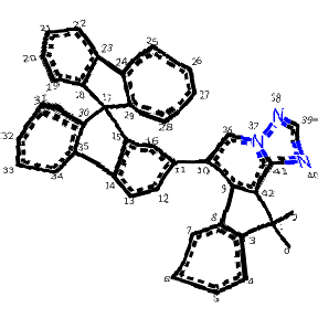 CC1(C)c2ccccc2-c2c(-c3ccc4c(c3)C3(c5ccccc5-c5ccccc53)c3ccccc3-4)cn3ncnc3c21